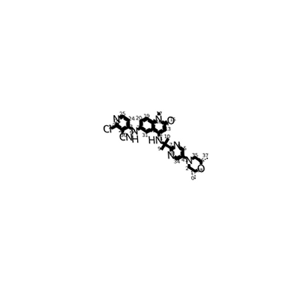 C[C@@H]1CN(c2cnc(C(C)(C)Nc3cc(=O)n(C)c4ccc(Nc5ccnc(Cl)c5C#N)cc34)nc2)C[C@H](C)O1